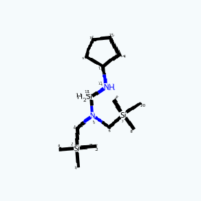 C[Si](C)(C)CN(C[Si](C)(C)C)[SiH2]NC1CCCC1